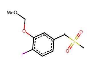 COCOc1cc([CH]S(C)(=O)=O)ccc1I